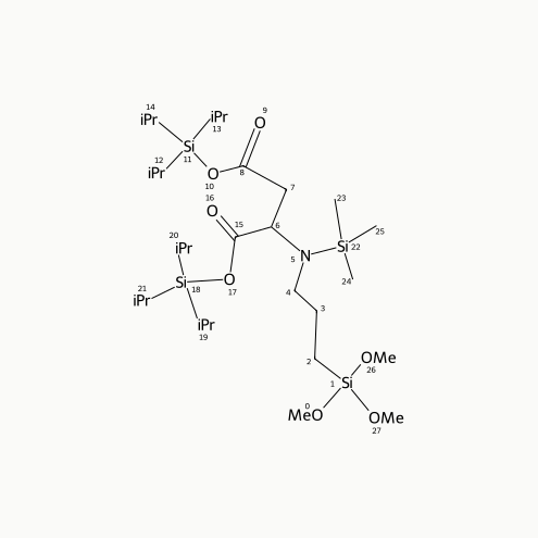 CO[Si](CCCN(C(CC(=O)O[Si](C(C)C)(C(C)C)C(C)C)C(=O)O[Si](C(C)C)(C(C)C)C(C)C)[Si](C)(C)C)(OC)OC